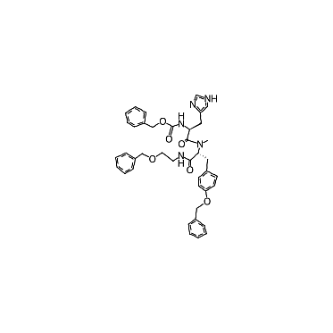 CN(C(=O)[C@H](Cc1c[nH]cn1)NC(=O)OCc1ccccc1)[C@H](Cc1ccc(OCc2ccccc2)cc1)C(=O)NCCOCc1ccccc1